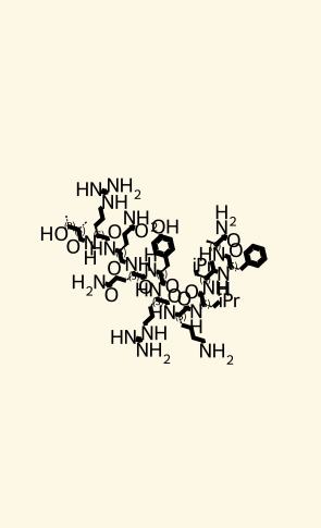 CC(C)C[C@H](NC(=O)[C@H](CCCCN)NC(=O)[C@H](CCCNC(=N)N)NC(=O)[C@H](Cc1ccc(O)cc1)NC(=O)[C@H](CCC(N)=O)NC(=O)[C@H](CCC(N)=O)NC(=O)[C@H](CCCNC(=N)N)NC(=O)[C@@H](C)[C@@H](C)O)C(=O)N[C@@H](CC(C)C)C(C)N[C@@H](Cc1ccccc1)C(=O)N[C@@H](C)C(N)=O